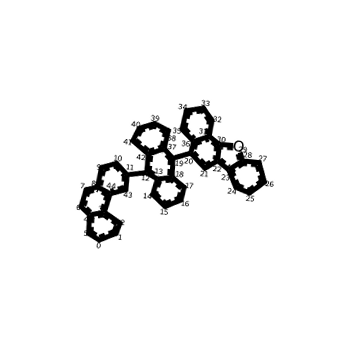 c1ccc2c(c1)ccc1ccc(-c3c4ccccc4c(-c4cc5c6ccccc6oc5c5ccccc45)c4ccccc34)cc12